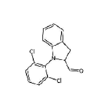 O=CC1Cc2ccccc2N1c1c(Cl)cccc1Cl